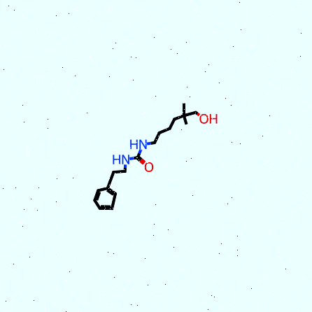 CC(C)(CO)CCCCNC(=O)NCCc1ccccc1